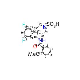 COc1ccccc1C(=O)NCC1(c2cc(F)cc(F)c2)CCN(S(=O)(=O)O)CC1